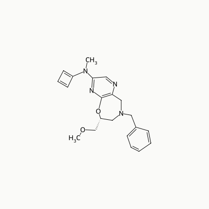 COC[C@H]1CN(Cc2ccccc2)Cc2ncc(N(C)C3=CC=C3)nc2O1